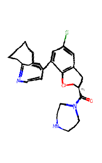 O=C([C@@H]1Cc2cc(Cl)cc(-c3ccnc4c3CCCC4)c2O1)N1CCNCC1